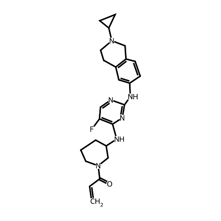 C=CC(=O)N1CCCC(Nc2nc(Nc3ccc4c(c3)CCN(C3CC3)C4)ncc2F)C1